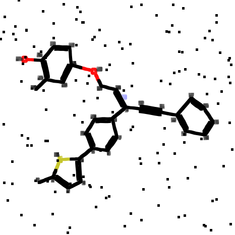 Cc1ccc(-c2ccc(/C(C#Cc3ccccc3)=C\COc3ccc([O])c(C)c3)cc2)s1